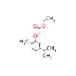 CCOC(=O)COc1cc(C(C)C)ccc1C